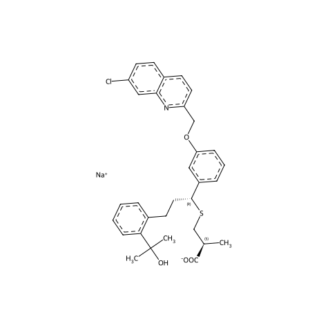 C[C@H](CS[C@H](CCc1ccccc1C(C)(C)O)c1cccc(OCc2ccc3ccc(Cl)cc3n2)c1)C(=O)[O-].[Na+]